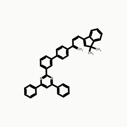 C=C(/C=C\C1=CC(C)(C)c2ccccc21)c1ccc(-c2cccc(-c3nc(-c4ccccc4)cc(-c4ccccc4)n3)c2)cc1